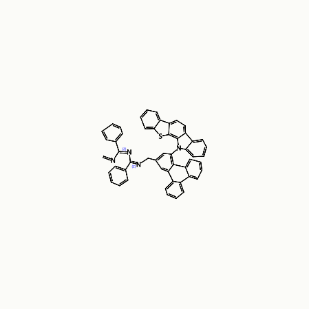 C=N/C(=N\C(=N/Cc1cc(-n2c3ccccc3c3ccc4c5ccccc5sc4c32)c2c3ccccc3c3ccccc3c2c1)c1ccccc1)c1ccccc1